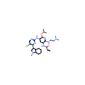 C=CC(=O)Nc1cc(Nc2ncc(Cl)c(-c3cn(C)c4ccccc34)n2)c(OC(C)C)nc1N(C)CCN(C)C